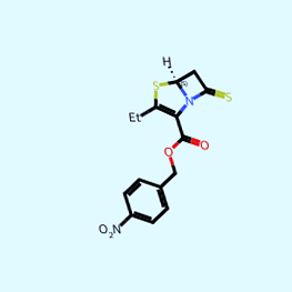 CCC1=C(C(=O)OCc2ccc([N+](=O)[O-])cc2)N2C(=S)C[C@@H]2S1